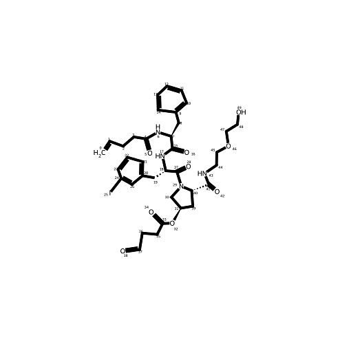 C=CCCC(=O)N[C@@H](Cc1ccccc1)C(=O)N[C@@H](Cc1cccc(I)c1)C(=O)N1C[C@H](OC(=O)CCC=O)C[C@H]1C(=O)NCCOCCO